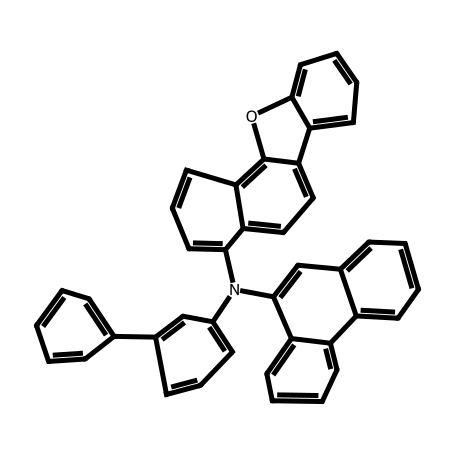 c1ccc(-c2cccc(N(c3cc4ccccc4c4ccccc34)c3cccc4c3ccc3c5ccccc5oc43)c2)cc1